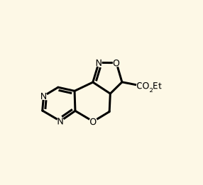 CCOC(=O)C1ON=C2c3cncnc3OCC21